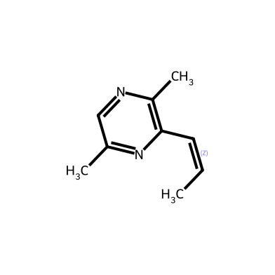 C/C=C\c1nc(C)cnc1C